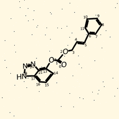 O=C(OCC=Cc1ccccc1)Oc1cccc2[nH]nnc12